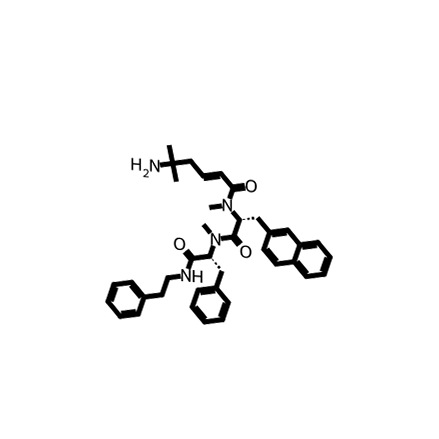 CN(C(=O)/C=C/CC(C)(C)N)[C@H](Cc1ccc2ccccc2c1)C(=O)N(C)[C@H](Cc1ccccc1)C(=O)NCCc1ccccc1